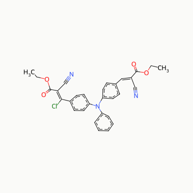 CCOC(=O)/C(C#N)=C(\Cl)c1ccc(N(c2ccccc2)c2ccc(/C=C(\C#N)C(=O)OCC)cc2)cc1